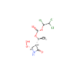 CC(OC(=O)OC(Cl)C(Cl)Cl)[C@@H]1C(=O)N[C@@H]1OO